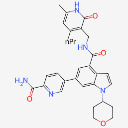 CCCc1cc(C)[nH]c(=O)c1CNC(=O)c1cc(-c2ccc(C(N)=O)nc2)cc2c1ccn2C1CCOCC1